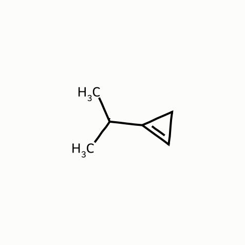 C[C](C)C1=CC1